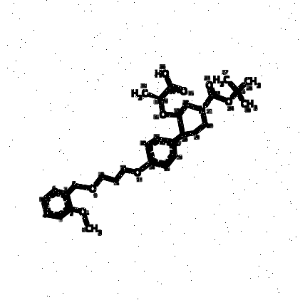 COc1ccccc1COCCCOc1ccc(C2CCN(C(=O)OC(C)(C)C)CC2O[C@@H](C)C(=O)O)cc1